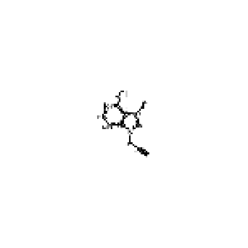 C#CCn1cc(I)c2c(Cl)ncnc21